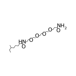 CCC(C)CCCCC(=O)NCCOCCOCCOCCOCCC(N)=O